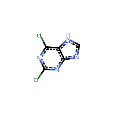 Clc1nc(Cl)c2[nH][c]nc2n1